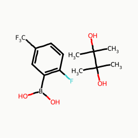 CC(C)(O)C(C)(C)O.OB(O)c1cc(C(F)(F)F)ccc1F